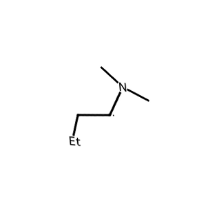 [CH2]CC[CH]N(C)C